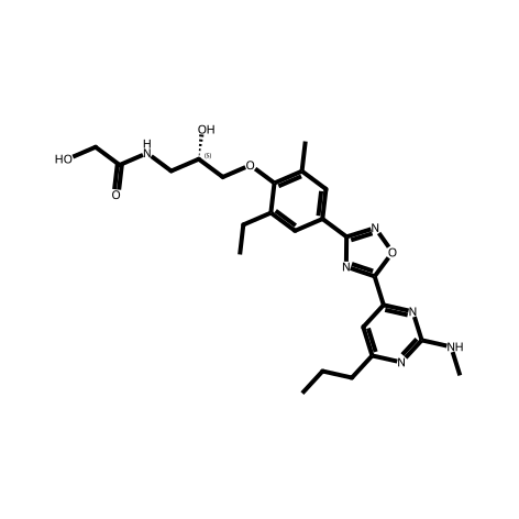 CCCc1cc(-c2nc(-c3cc(C)c(OC[C@@H](O)CNC(=O)CO)c(CC)c3)no2)nc(NC)n1